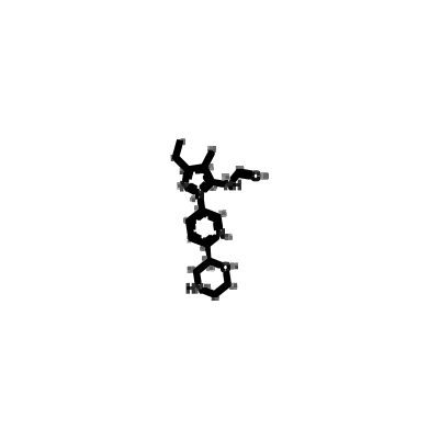 CCc1nn(-c2ccc([C@@H]3CNCCO3)nc2)c(NC=O)c1C